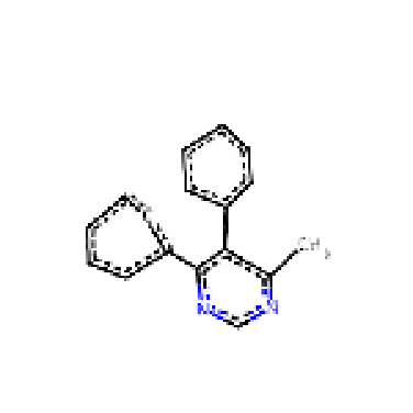 Cc1ncnc(-c2ccccc2)c1-c1ccccc1